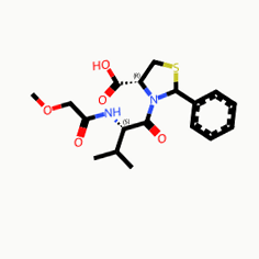 COCC(=O)N[C@H](C(=O)N1C(c2ccccc2)SC[C@H]1C(=O)O)C(C)C